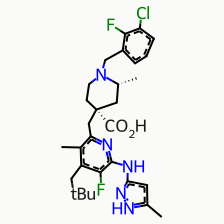 Cc1cc(Nc2nc(C[C@@]3(C(=O)O)CCN(Cc4cccc(Cl)c4F)[C@H](C)C3)c(C)c(CC(C)(C)C)c2F)n[nH]1